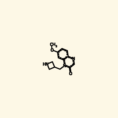 COc1ccc2ncc(=O)n(CC3CNC3)c2c1